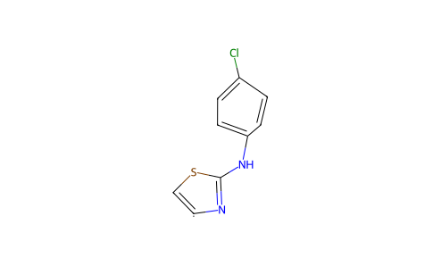 Clc1ccc(Nc2n[c]cs2)cc1